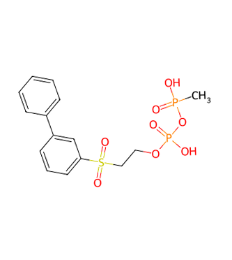 CP(=O)(O)OP(=O)(O)OCCS(=O)(=O)c1cccc(-c2ccccc2)c1